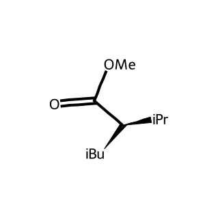 CC[C@H](C)[C@@H](C(=O)OC)C(C)C